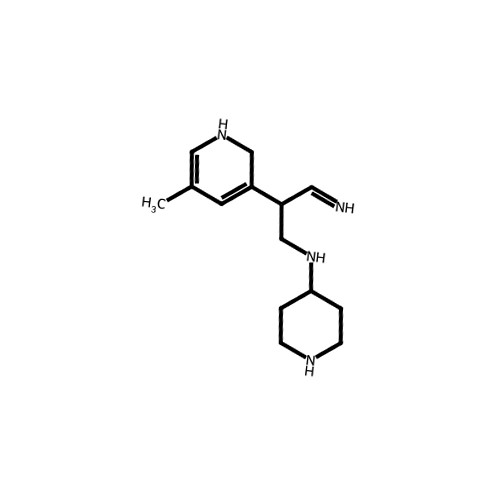 CC1=CNCC(C(C=N)CNC2CCNCC2)=C1